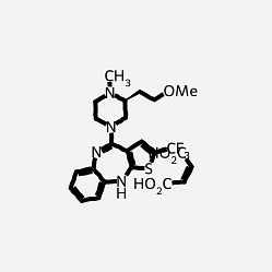 COCC[C@H]1CN(C2=Nc3ccccc3Nc3sc(C(F)(F)F)cc32)CCN1C.O=C(O)/C=C\C(=O)O